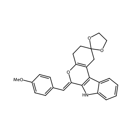 COc1ccc(C=C2OC3=C(CC4(CC3)OCCO4)c3c2[nH]c2ccccc32)cc1